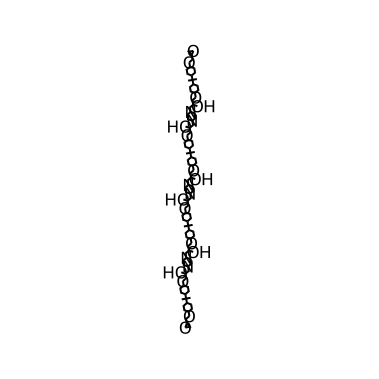 CC(C)(C1CCC(OCC(O)CN2CCN(CC(O)COC3CCC(C(C)(C)C4CCC(OCC(O)CN5CCN(CC(O)COC6CCC(C(C)(C)C7CCC(OCC8CO8)CC7)CC6)CC5)CC4)CC3)CC2)CC1)C1CCC(OCC(O)CN2CCN(CC(O)COC3CCC(C(C)(C)C4CCC(OCC5CO5)CC4)CC3)CC2)CC1